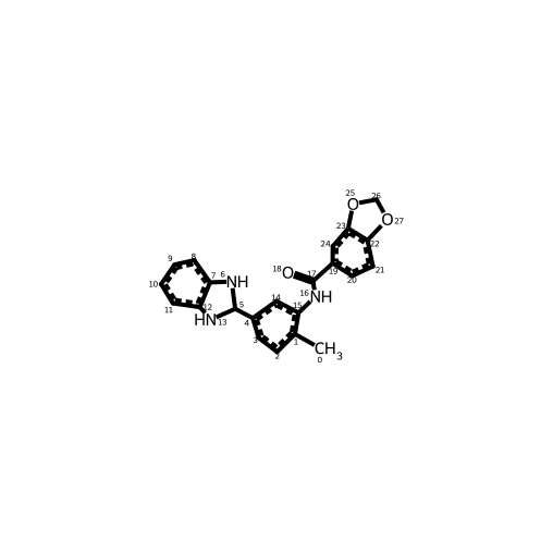 Cc1ccc(C2Nc3ccccc3N2)cc1NC(=O)c1ccc2c(c1)OCO2